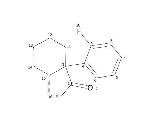 CC(=O)C1(c2ccccc2F)CCCC[C@H]1C